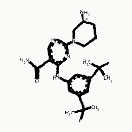 CC(C)(F)c1cc(Nc2nc(N3CCC[C@H](N)C3)ncc2C(N)=O)cc(C(C)(C)F)c1